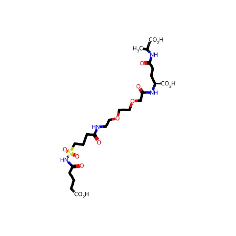 CC(NC(=O)CC[C@H](NC(=O)COCCOCCNC(=O)CCCS(=O)(=O)NC(=O)CCCC(=O)O)C(=O)O)C(=O)O